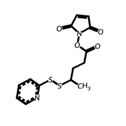 CC(CCC(=O)ON1C(=O)C=CC1=O)SSc1ccccn1